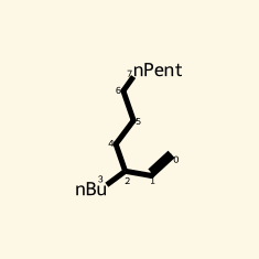 C=CC(CCCC)CCCCCCCC